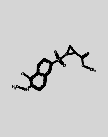 CNc1ccc2cc(S(=O)(=O)N3CC3C(=O)OC)ccc2c1Cl